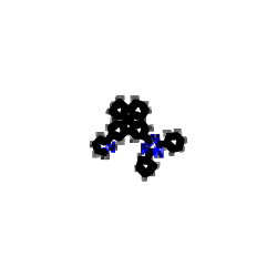 c1ccc(-c2nc(-c3ccccc3)nc(-c3ccc4c(c3)-c3cc(-c5ccccn5)ccc3C4(c3ccccc3)c3ccccc3)n2)cc1